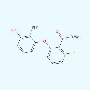 CCCc1c(O)cccc1Oc1cccc(F)c1C(=O)OC